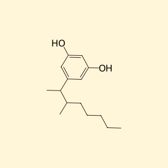 CCCCCC(C)C(C)c1cc(O)cc(O)c1